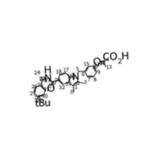 Cc1c(C)n(Cc2cccc(O[C@H](C)C(=O)O)c2)c2ccc(C(=O)N[C@@H](C)c3ccc(C(C)(C)C)cc3)cc12